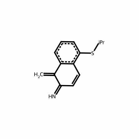 C=C1C(=N)C=Cc2c(SC(C)C)cccc21